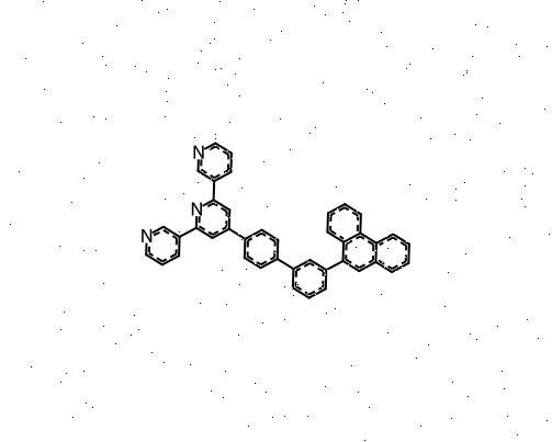 c1cncc(-c2cc(-c3ccc(-c4cccc(-c5cc6ccccc6c6ccccc56)c4)cc3)cc(-c3cccnc3)n2)c1